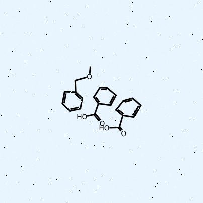 COCc1ccccc1.O=C(O)c1ccccc1.O=C(O)c1ccccc1